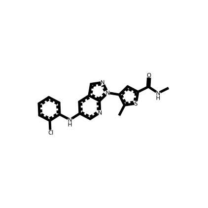 CNC(=O)c1cc(-n2ncc3cc(Nc4ccccc4Cl)cnc32)c(C)s1